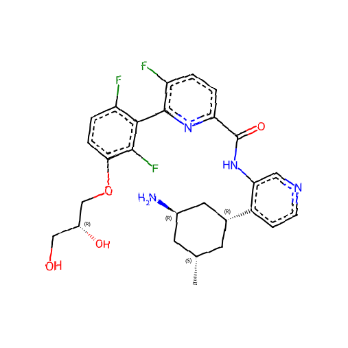 C[C@@H]1C[C@@H](N)C[C@H](c2ccncc2NC(=O)c2ccc(F)c(-c3c(F)ccc(OC[C@H](O)CO)c3F)n2)C1